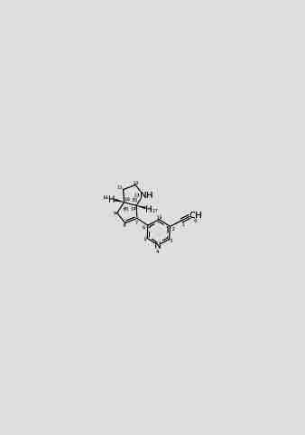 C#Cc1cncc(C2=CC[C@@H]3CCN[C@H]23)c1